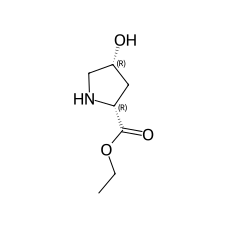 CCOC(=O)[C@H]1C[C@@H](O)CN1